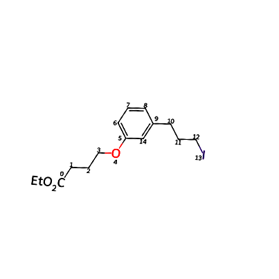 CCOC(=O)CCCOc1cccc(CCCI)c1